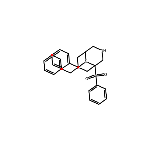 O=S(=O)(c1ccccc1)C12CNCC(CN(Cc3ccccc3)C1)N2Cc1ccccc1